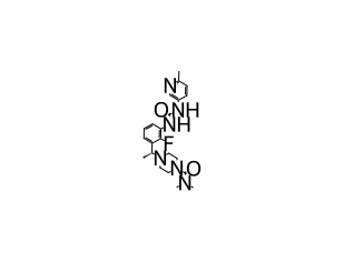 Cc1ccc(NC(=O)Nc2cccc([C@H](C)N3CCN(C(=O)N(C)C)CC3)c2F)cn1